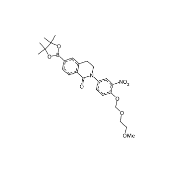 COCCOCOc1ccc(N2CCc3cc(B4OC(C)(C)C(C)(C)O4)ccc3C2=O)cc1[N+](=O)[O-]